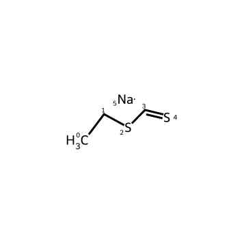 CCSC=S.[Na]